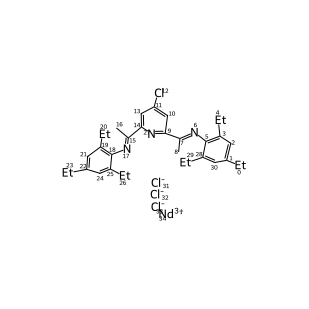 CCc1cc(CC)c(N=C(C)c2cc(Cl)cc(C(C)=Nc3c(CC)cc(CC)cc3CC)n2)c(CC)c1.[Cl-].[Cl-].[Cl-].[Nd+3]